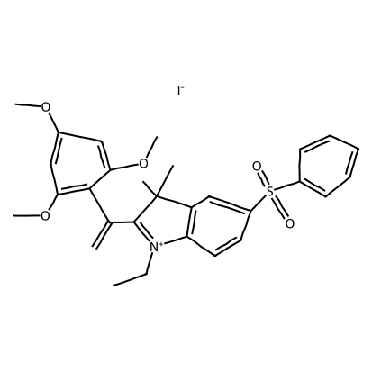 C=C(C1=[N+](CC)c2ccc(S(=O)(=O)c3ccccc3)cc2C1(C)C)c1c(OC)cc(OC)cc1OC.[I-]